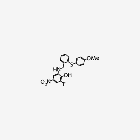 COc1ccc(Sc2ccccc2CNc2cc([N+](=O)[O-])cc(F)c2O)cc1